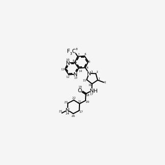 CC1CN(c2ccc(C(F)(F)F)c3nccnc23)CC1NC(=O)CC1CCN(C)CC1